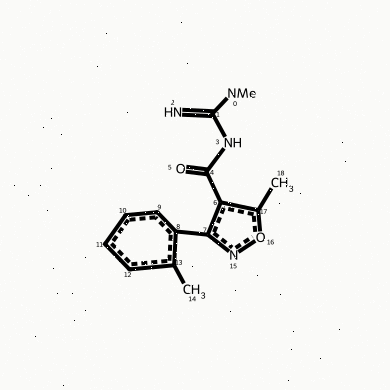 CNC(=N)NC(=O)c1c(-c2ccccc2C)noc1C